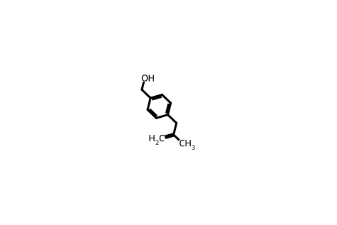 C=C(C)Cc1ccc(CO)cc1